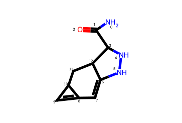 NC(=O)C1NNC2=CC3=CC3CC21